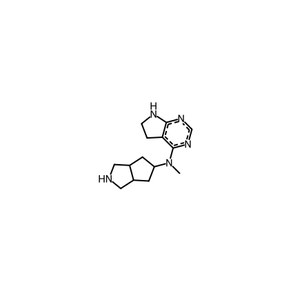 CN(c1ncnc2c1CCN2)C1CC2CNCC2C1